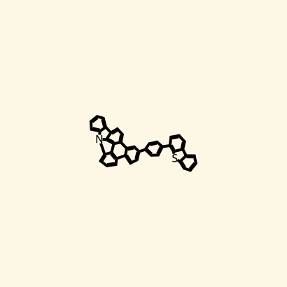 c1ccc2c(c1)sc1c(-c3ccc(-c4ccc5c(c4)c4ccc6c7ccccc7n7c8cccc5c8c4c67)cc3)cccc12